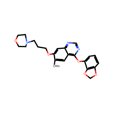 COc1cc2c(Oc3cccc4c3OCO4)ncnc2cc1OCCCN1CCOCC1